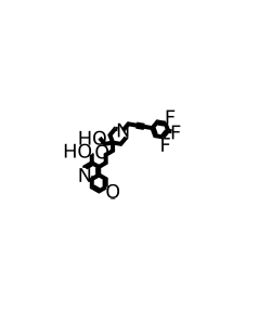 COc1ccc2ncc(CO)c(CCCC3(C(=O)O)CCN(CC#Cc4cc(F)c(F)c(F)c4)CC3)c2c1